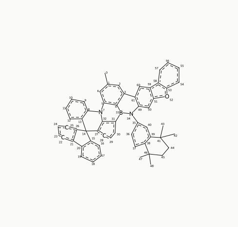 Cc1cc2c3c(c1)N1c4ccccc4C4(c5ccccc5-c5ccccc54)c4cccc(c41)B3N(c1ccc3c(c1)C(C)(C)CCC3(C)C)c1cc3oc4ccccc4c3cc1-2